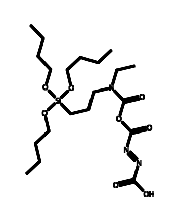 CCCCO[Si](CCCN(CC)C(=O)OC(=O)N=NC(=O)O)(OCCCC)OCCCC